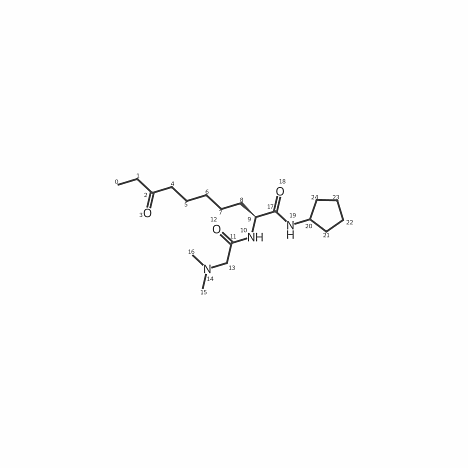 CCC(=O)CCCCC[C@H](NC(=O)CN(C)C)C(=O)NC1CCCC1